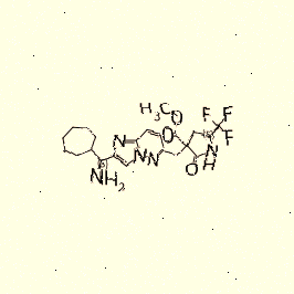 COC(=O)C1(Cc2ccc3nc([C@@H](N)C4CCCCCC4)cn3n2)C[C@@H](C(F)(F)F)NC1=O